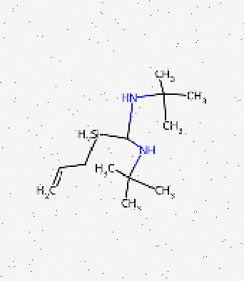 C=CC[SiH2]C(NC(C)(C)C)NC(C)(C)C